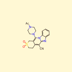 CC(=O)N1CCN(c2c3c(c(C#N)c4nc5ccccc5n24)CCS(=O)(=O)C3)CC1